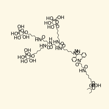 CCC(CC)OP(=O)(O)OCCCCCCNC(=O)CCC(=O)N1Cc2ccccc2-c2nnn(CCCCCC(=O)NC(CCC(=O)NC(CCC(=O)NCCCCCCO[C@H]3O[C@H](CO)[C@@H](O)C(O)C3O)C(=O)NCCCCCCO[C@H]3O[C@H](CO)[C@@H](O)C(O)C3O)C(=O)NCCCCCCO[C@H]3O[C@H](CO)[C@@H](O)C(O)C3O)c2-c2ccccc21